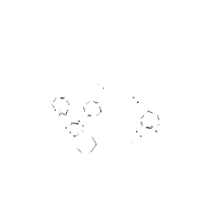 Nc1cc(CN2CCC([S+]([O-])c3ccc(-n4c(-c5ccccn5)nc5c4C=C=CC=C5)cc3)CC2)ccn1